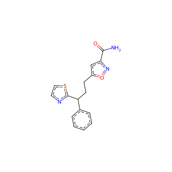 NC(=O)c1cc(CCC(c2ccccc2)c2nccs2)on1